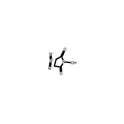 O=C1CCC(=O)N1O.[N-]=[N+]=[N-]